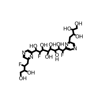 OCC(O)C(O)Cc1cncc(C(F)C(O)C(O)C(O)C(O)C(O)C(F)C(O)c2cncc(CC(F)C(O)CO)n2)n1